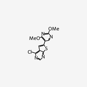 COc1ncc(-c2cc3c(Cl)ncnc3s2)c(OC)n1